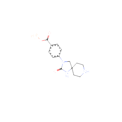 O=C(OP)c1ccc(N2CC3(CCNCC3)NC2=O)cc1